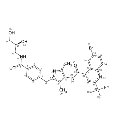 Cc1nn(Cc2ccc(C(=O)NC[C@H](O)CO)cc2)c(C)c1NC(=O)c1cc(C(F)(F)F)nc2ccc(Br)cc12